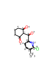 O=C1CCCC(=O)C1C(=O)c1ccc(C(F)(F)F)c(Cl)n1